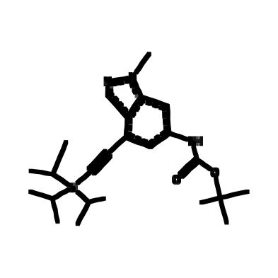 CC(C)[Si](C#Cc1cc(NC(=O)OC(C)(C)C)cc2c1cnn2C)(C(C)C)C(C)C